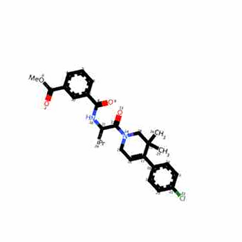 COC(=O)c1cccc(C(=O)NC(C(=O)N2CC=C(c3ccc(Cl)cc3)C(C)(C)C2)C(C)C)c1